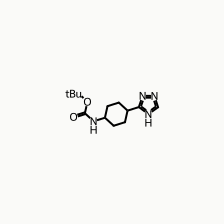 CC(C)(C)OC(=O)NC1CCC(c2nnc[nH]2)CC1